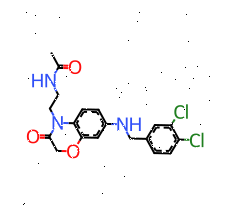 CC(=O)NCCN1C(=O)COc2cc(NCc3ccc(Cl)c(Cl)c3)ccc21